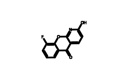 O=c1c2ccc(O)nc2oc2c(F)cccc12